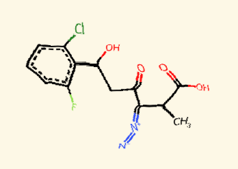 CC(C(=O)O)C(=[N+]=[N-])C(=O)CC(O)c1c(F)cccc1Cl